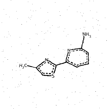 Cc1csc(-c2cccc(N)n2)n1